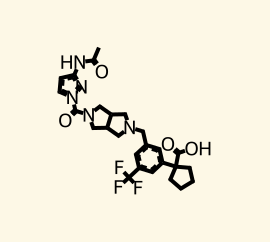 CC(=O)Nc1ccn(C(=O)N2CC3CN(Cc4cc(C(F)(F)F)cc(C5(C(=O)O)CCCC5)c4)CC3C2)n1